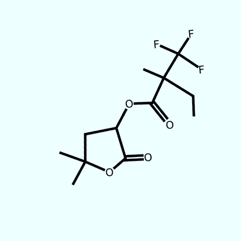 CCC(C)(C(=O)OC1CC(C)(C)OC1=O)C(F)(F)F